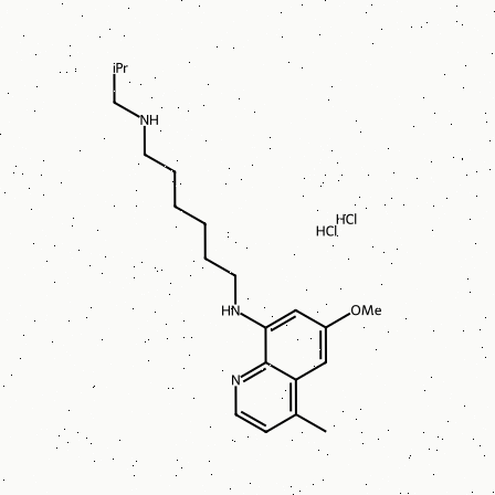 COc1cc(NCCCCCCNCC(C)C)c2nccc(C)c2c1.Cl.Cl